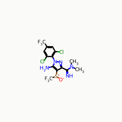 CN(C)C(=N)c1nn(-c2c(Cl)cc(C(F)(F)F)cc2Cl)c(N)c1[S+]([O-])C(F)(F)F